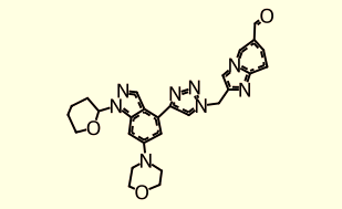 O=Cc1ccc2nc(Cn3cc(-c4cc(N5CCOCC5)cc5c4cnn5C4CCCCO4)nn3)cn2c1